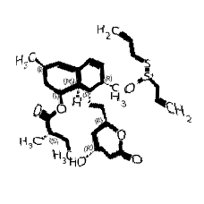 C=CCS[S+]([O-])CC=C.CC[C@H](C)C(=O)O[C@H]1C[C@@H](C)C=C2C=C[C@H](C)[C@H](CC[C@@H]3C[C@@H](O)CC(=O)O3)[C@H]21